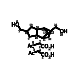 CC(=O)CC(=O)O.CC(=O)CC(=O)O.OCC1CC2C3CC(CO)C(C3)C2C1